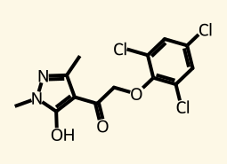 Cc1nn(C)c(O)c1C(=O)COc1c(Cl)cc(Cl)cc1Cl